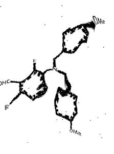 COc1ccc(CN(Cc2ccc(OC)cc2)c2ccc(Br)c(C=O)c2F)cc1